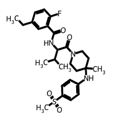 CCc1ccc(F)c(C(=O)NC(C(=O)N2CCC(C)(Nc3ccc(S(C)(=O)=O)cc3)CC2)C(C)C)c1